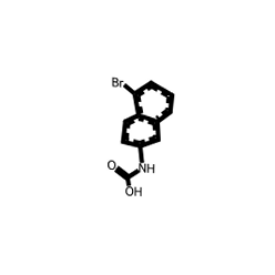 O=C(O)Nc1ccc2c(Br)cccc2c1